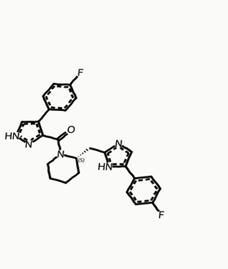 O=C(c1n[nH]cc1-c1ccc(F)cc1)N1CCCC[C@H]1Cc1ncc(-c2ccc(F)cc2)[nH]1